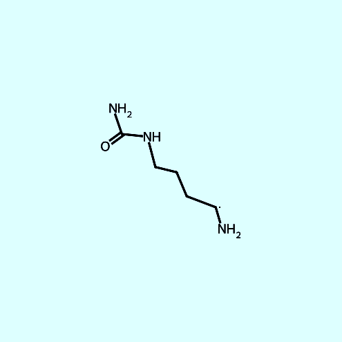 N[CH]CCCNC(N)=O